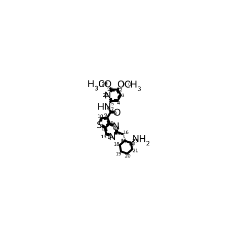 COc1ccc(NC(=O)c2csc3cnc(C[C@H]4CCCC[C@H]4N)nc23)nc1OC